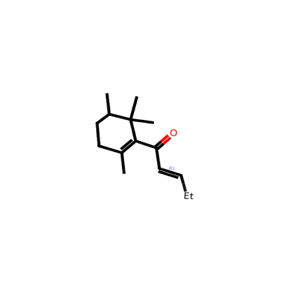 CC/C=C/C(=O)C1=C(C)CCC(C)C1(C)C